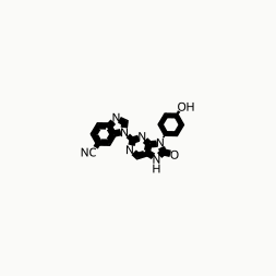 N#Cc1ccc2ncn(-c3ncc4[nH]c(=O)n([C@H]5CC[C@H](O)CC5)c4n3)c2c1